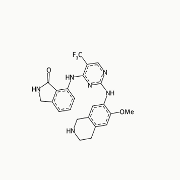 COc1cc2c(cc1Nc1ncc(C(F)(F)F)c(Nc3cccc4c3C(=O)NC4)n1)CNCC2